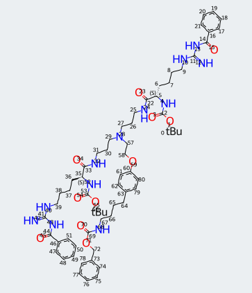 CC(C)(C)OC(=O)N[C@@H](CCCCNC(=N)NC(=O)c1ccccc1)C(=O)NCCCN(CCCNC(=O)[C@H](CCCCNC(=N)NC(=O)c1ccccc1)NC(=O)OC(C)(C)C)CCOc1ccc(CCCCNC(=O)OCc2ccccc2)cc1